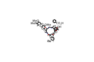 CC[C@H](C)C1O[C@]2(C=C[C@@H]1C)C[C@@H]1C[C@@H](C/C=C(\C)[C@@H](O[C@H]3C[C@H](OC)[C@@H](O[C@H]4C[C@H](OC)[C@H](NC)[C@H](C)O4)[C@H](C)O3)[C@@H](C)/C=C/C=C3\CO[C@@H]4[C@H](O)C(C)=C[C@@H](C(=O)O1)[C@]34O)O2.O=C(O)c1ccccc1